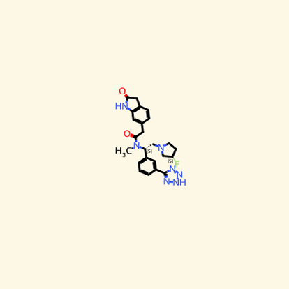 CN(C(=O)Cc1ccc2c(c1)NC(=O)C2)[C@H](CN1CC[C@H](F)C1)c1cccc(-c2nn[nH]n2)c1